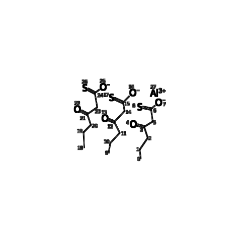 CCCC(=O)CC([O-])=S.CCCC(=O)CC([O-])=S.CCCC(=O)CC([O-])=S.[Al+3]